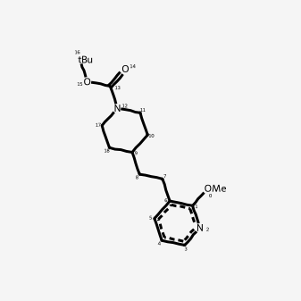 COc1ncccc1CCC1CCN(C(=O)OC(C)(C)C)CC1